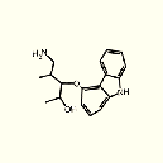 CC(O)C(Oc1cccc2[nH]c3ccccc3c12)C(C)CN